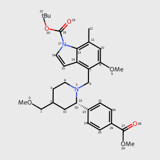 COCC1CCN(Cc2c(OC)cc(C)c3c2ccn3C(=O)OC(C)(C)C)[C@H](c2ccc(C(=O)OC)cc2)C1